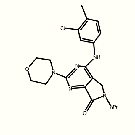 CCCN1Cc2c(Nc3ccc(C)c(Cl)c3)nc(N3CCOCC3)nc2C1=O